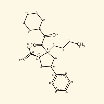 CCCC[N+]1(C(=O)C(=O)C2CCCCC2)CC(c2ccccc2)C[C@H]1C([O-])=S